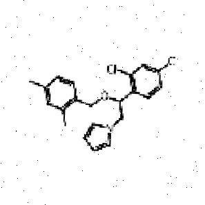 Cc1ccc(COC(Cn2cccc2)c2ccc(Cl)cc2Cl)c(C)c1